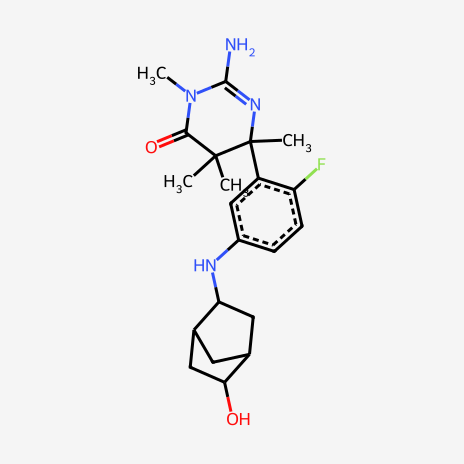 CN1C(=O)C(C)(C)C(C)(c2cc(NC3CC4CC3CC4O)ccc2F)N=C1N